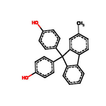 Cc1ccc2c(c1)C(c1ccc(O)cc1)(c1ccc(O)cc1)c1ccccc1-2